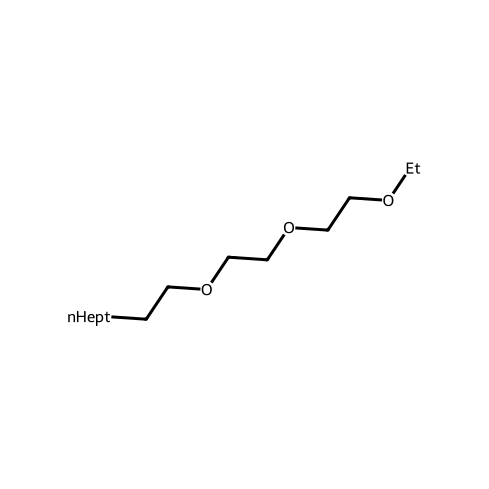 [CH2]COCCOCCOCCCCCCCCC